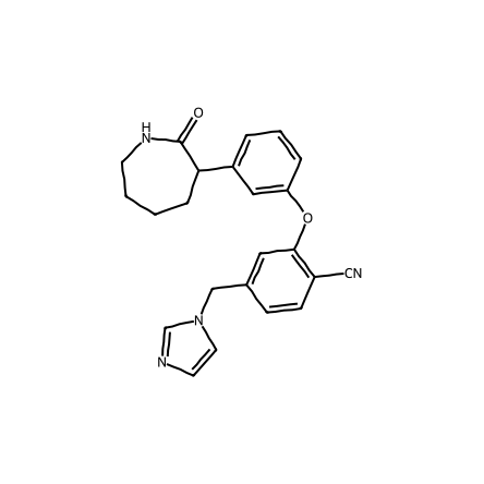 N#Cc1ccc(Cn2ccnc2)cc1Oc1cccc(C2CCCCNC2=O)c1